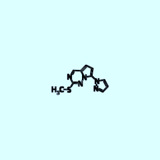 CSc1ncc2ccc(-n3cccn3)n2n1